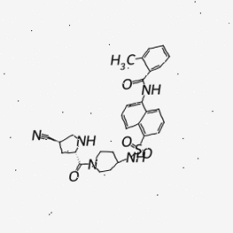 Cc1ccccc1C(=O)Nc1cccc2c(S(=O)(=O)NC3CCN(C(=O)[C@@H]4C[C@@H](C#N)CN4)CC3)cccc12